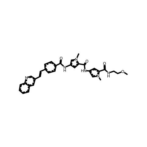 COCCNC(=O)c1cc(NC(=O)c2cc(NC(=O)c3ccc(/C=C/c4cnc5ccccc5c4)cc3)cn2C)cn1C